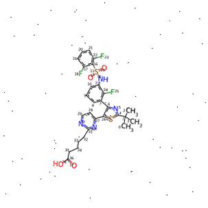 CC(C)(C)c1nc(-c2cccc(NS(=O)(=O)c3c(F)cccc3F)c2F)c(-c2ccnc(CCCCC(=O)O)n2)s1